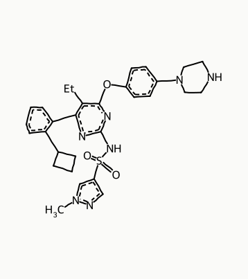 CCc1c(Oc2ccc(N3CCNCC3)cc2)nc(NS(=O)(=O)c2cnn(C)c2)nc1-c1ccccc1C1CCC1